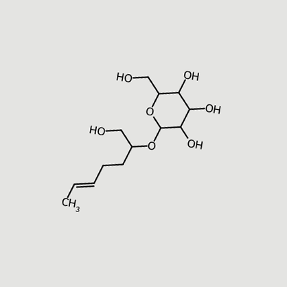 C/C=C/CCC(CO)OC1OC(CO)C(O)C(O)C1O